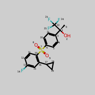 C[C@@](O)(c1ccc(S(=O)(=O)c2ccc(F)cc2C2CC2)cc1)C(F)(F)F